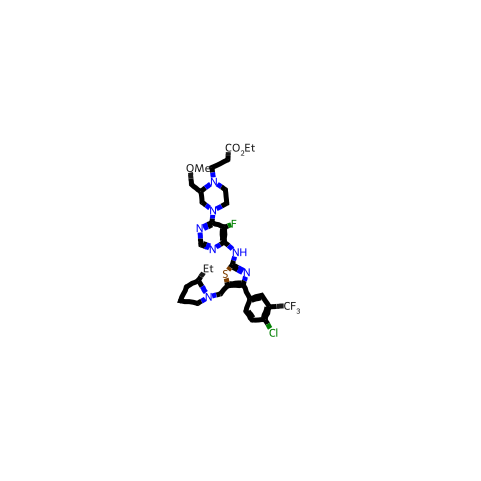 CCOC(=O)CCN1CCN(c2ncnc(Nc3nc(-c4ccc(Cl)c(C(F)(F)F)c4)c(CN4CCCC4CC)s3)c2F)CC1COC